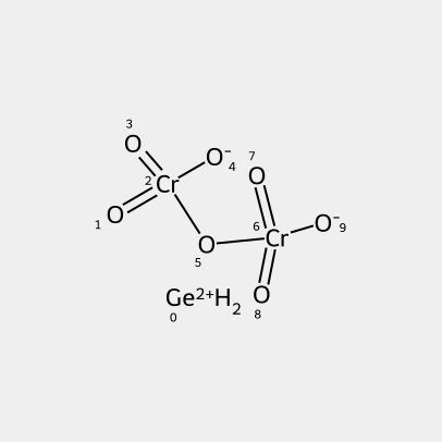 [GeH2+2].[O]=[Cr](=[O])([O-])[O][Cr](=[O])(=[O])[O-]